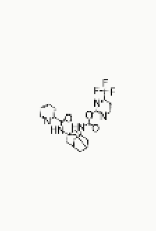 O=C(NC12CC3CC(C1)CC(NC(=O)c1ccccn1)(C3)C2)Oc1nccc(C(F)(F)F)n1